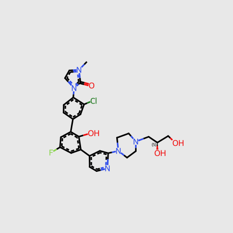 Cn1ccn(-c2ccc(-c3cc(F)cc(-c4ccnc(N5CCN(C[C@H](O)CO)CC5)c4)c3O)cc2Cl)c1=O